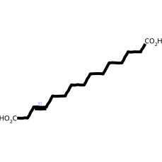 O=C(O)C/C=C/CCCCCCCCCCC(=O)O